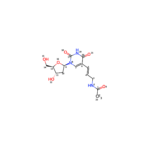 O=C(NCC=Cc1cn([C@H]2C[C@H](O)[C@@H](CO)O2)c(=O)[nH]c1=O)C(F)(F)F